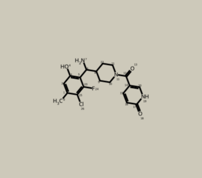 Cc1cc(O)c(C(N)C2CCN(C(=O)c3ccc(=O)[nH]c3)CC2)c(F)c1Cl